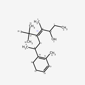 CCC(O)/C(C)=C(\CC(C)C1=C(C)C=CCC1)C(C)(C)I